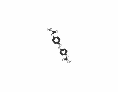 O=C(O)Oc1ccc(OOc2ccc(OC(=O)O)cc2)cc1